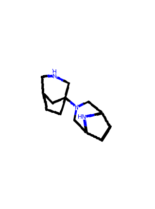 C1CC2(N3CC4CCC(C3)N4)CNCC1C2